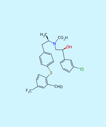 C[C@H](Cc1ccc(Sc2ccc(C(F)(F)F)cc2C=O)cc1)N(C[C@@H](O)c1cccc(Cl)c1)C(=O)O